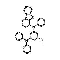 COc1cc(N(c2ccccc2)c2ccccc2)cc(N(c2ccccc2)c2cccc3c2sc2ccccc23)c1